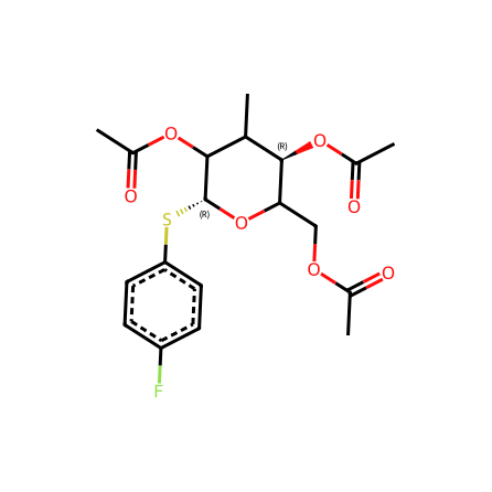 CC(=O)OCC1O[C@H](Sc2ccc(F)cc2)C(OC(C)=O)C(C)[C@H]1OC(C)=O